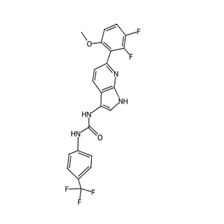 COc1ccc(F)c(F)c1-c1ccc2c(NC(=O)Nc3ccc(C(F)(F)F)cc3)c[nH]c2n1